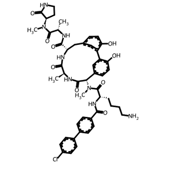 C[C@@H]1NC(=O)[C@@H](N(C)C(=O)[C@H](CCCCN)NC(=O)c2ccc(-c3ccc(Cl)cc3)cc2)c2ccc(O)c(c2)-c2cc(ccc2O)C[C@@H](C(=O)N[C@@H](C)C(=O)N(C)[C@@H]2CCNC2=O)NC1=O